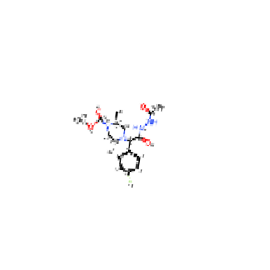 CC(C)C(=O)NNC(=O)C(c1ccc(F)cc1)N1C[C@H](C)N(C(=O)OC(C)(C)C)C[C@H]1C